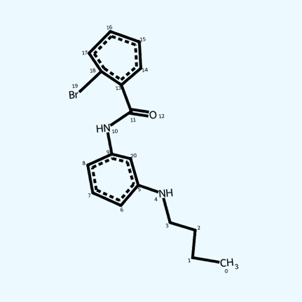 CCCCNc1cccc(NC(=O)c2ccccc2Br)c1